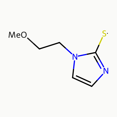 COCCn1ccnc1[S]